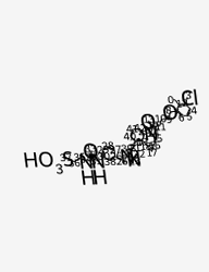 Cc1c(Cl)cccc1OCCCC(=O)N1CC2CC2c2c(-c3cnn(Cc4cccc(NC(=O)NCCS(=O)(=O)O)c4)c3)cccc21